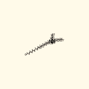 CCCCCCCCCCCCCCCCCCN1C=CN(CCCCCC)C1CCCC